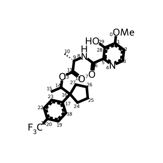 COc1ccnc(C(=O)N[C@@H](C)C(=O)OC(C)C2(c3ccc(C(F)(F)F)cc3)CCCC2)c1O